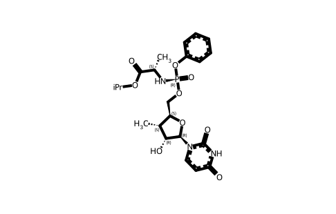 CC(C)OC(=O)[C@H](C)N[P@@](=O)(OC[C@H]1O[C@@H](n2ccc(=O)[nH]c2=O)[C@H](O)[C@@H]1C)Oc1ccccc1